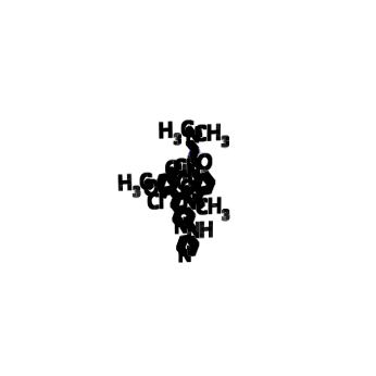 COc1cc(OC)c(Cl)c(-c2cc3cnc(Nc4ccncc4)cc3n(C(C)c3cccc(NC(=O)/C=C/CN(C)C)c3)c2=O)c1Cl